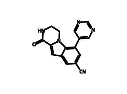 N#Cc1cc(-c2cncnc2)c2c(c1)cc1n2CCNC1=O